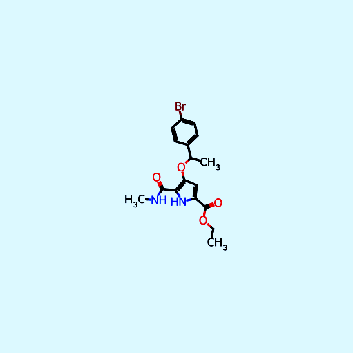 CCOC(=O)c1cc(OC(C)c2ccc(Br)cc2)c(C(=O)NC)[nH]1